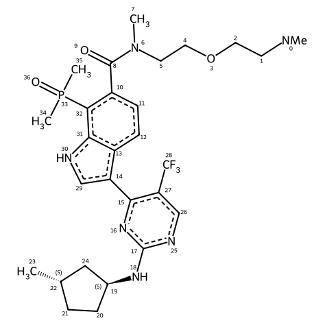 CNCCOCCN(C)C(=O)c1ccc2c(-c3nc(N[C@H]4CC[C@H](C)C4)ncc3C(F)(F)F)c[nH]c2c1P(C)(C)=O